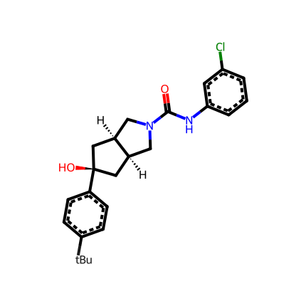 CC(C)(C)c1ccc([C@]2(O)C[C@H]3CN(C(=O)Nc4cccc(Cl)c4)C[C@H]3C2)cc1